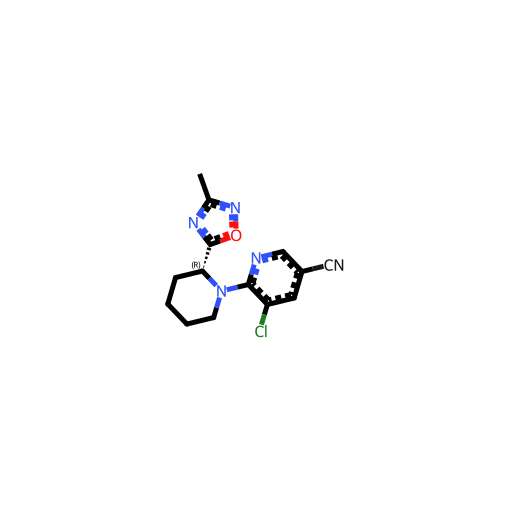 Cc1noc([C@H]2CCCCN2c2ncc(C#N)cc2Cl)n1